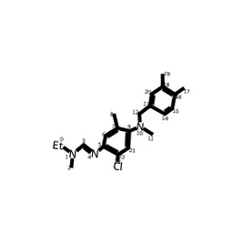 CCN(C)C=Nc1cc(C)c(N(C)Cc2ccc(C)c(C)c2)cc1Cl